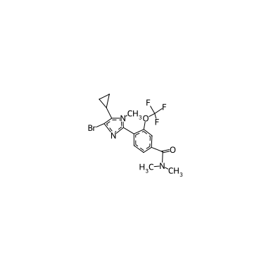 CN(C)C(=O)c1ccc(-c2nc(Br)c(C3CC3)n2C)c(OC(F)(F)F)c1